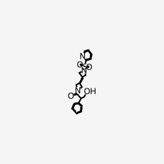 O=C(C(CO)c1ccccc1)N1CC(=C2CN(S(=O)(=O)c3ccccn3)C2)C1